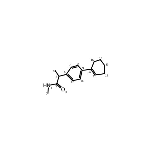 CNC(=O)C(C)c1ccc(C2=CCCCC2)cc1